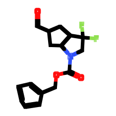 O=CC1CC2C(C1)C(F)(F)CN2C(=O)OCc1ccccc1